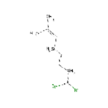 CC(C)=C[SiH2]CC[SiH2]C(Br)Br